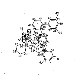 Cc1cc(C)cc(-c2cccc3c2C=C(C2CCCCC2)[CH]3[Zr]([Cl])([Cl])([CH]2C(C3CCCCC3)=Cc3c(-c4cc(C)cc(C)c4)cccc32)[SiH](C)C)c1